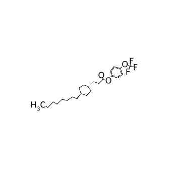 CCCCCCCC[C@H]1CC[C@H](CCC(=O)Oc2ccc(OC(F)(F)F)cc2)CC1